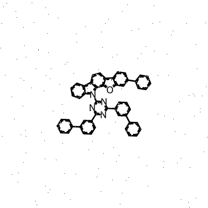 c1ccc(-c2cccc(-c3nc(-c4cccc(-c5ccccc5)c4)nc(-n4c5ccccc5c5ccc6c7ccc(-c8ccccc8)cc7oc6c54)n3)c2)cc1